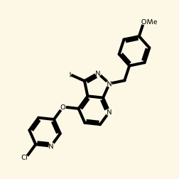 COc1ccc(Cn2nc(I)c3c(Oc4ccc(Cl)nc4)ccnc32)cc1